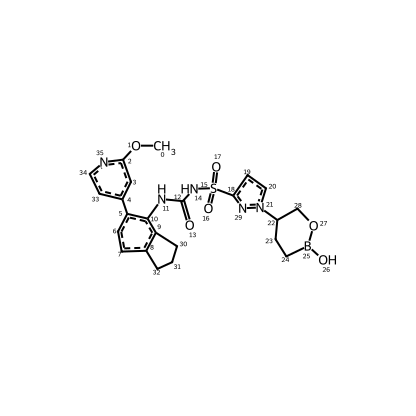 COc1cc(-c2ccc3c(c2NC(=O)NS(=O)(=O)c2ccn(C4CCB(O)OC4)n2)CCC3)ccn1